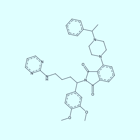 COc1ccc(C(CCCNc2ncccn2)N2C(=O)c3cccc(N4CCN(C(C)c5ccccc5)CC4)c3C2=O)cc1OC